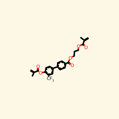 C=C(C)C(=O)OCCCOC(=O)c1ccc(-c2ccc(OC(=O)C(=C)C)c(C(F)(F)F)c2)cc1